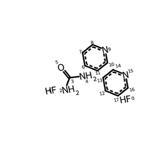 F.F.NC(N)=O.c1ccncc1.c1ccncc1